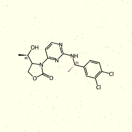 C[C@H](Nc1nccc(N2C(=O)OCC2[C@@H](C)O)n1)c1ccc(Cl)c(Cl)c1